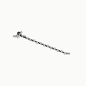 COCCOCCOCCOCCOCCOCCOCCOCCOCCOCCOCCOCCCNCC(C)(C(=O)O)N1C(=O)C=CC1=O